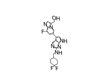 OCc1cnc2c(F)cc(-c3c[nH]c4nc(NCC5CCC(F)(F)CC5)ncc34)cn12